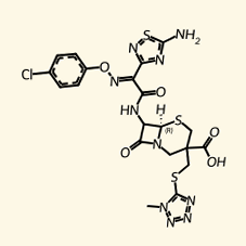 Cn1nnnc1SCC1(C(=O)O)CS[C@@H]2C(NC(=O)C(=NOc3ccc(Cl)cc3)c3nsc(N)n3)C(=O)N2C1